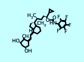 C=C1/C(=C\C=C2/CCC[C@]3(C)[C@@H]([C@H](C)CC[C@H](OC(=O)Nc4c(F)c(F)c(F)c(F)c4F)C4CC4)CC[C@@H]23)C[C@@H](O)C[C@@H]1O